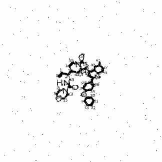 C=C[C@@H](CNC(=O)N1CCOCC1)[C@H]1CCN2C(=O)S[C@@H](c3cc(-c4ccc(Oc5ccccc5)cc4)nc4ccc(C)cc34)[C@@H]2C1